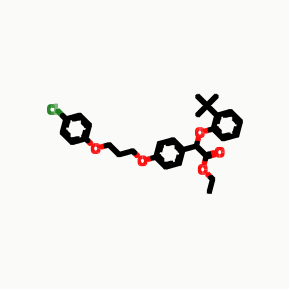 CCOC(=O)C(Oc1ccccc1C(C)(C)C)c1ccc(OCCCOc2ccc(Cl)cc2)cc1